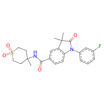 CC1(NC(=O)c2ccc3c(c2)C(C)(C)C(=O)N3c2cccc(F)c2)CCS(=O)(=O)CC1